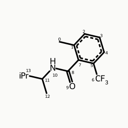 Cc1cccc(C(F)(F)F)c1C(=O)NC(C)C(C)C